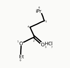 CCOC(=O)CCC(C)C.Cl